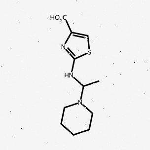 CC(Nc1nc(C(=O)O)cs1)N1CCCCC1